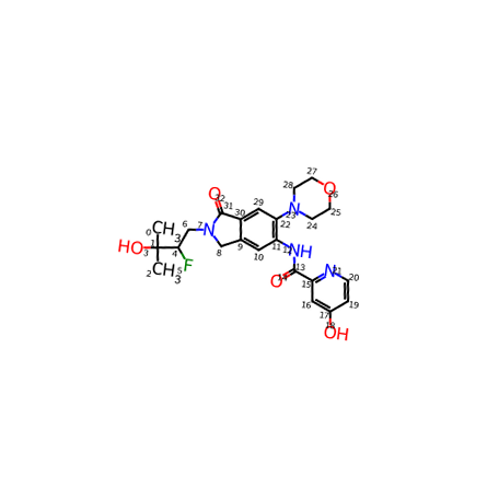 CC(C)(O)C(F)CN1Cc2cc(NC(=O)c3cc(O)ccn3)c(N3CCOCC3)cc2C1=O